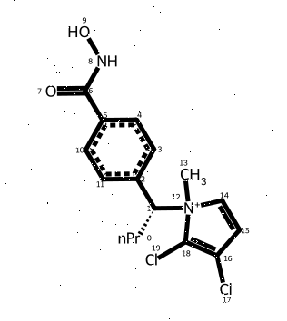 CCC[C@H](c1ccc(C(=O)NO)cc1)[N+]1(C)C=CC(Cl)=C1Cl